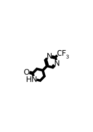 O=C1CC(c2cnc(C(F)(F)F)nc2)CCN1